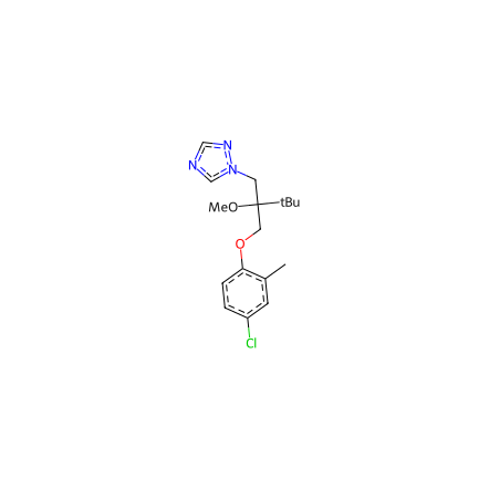 COC(COc1ccc(Cl)cc1C)(Cn1cncn1)C(C)(C)C